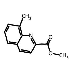 COC(=O)c1ccc2cccc(C)c2n1